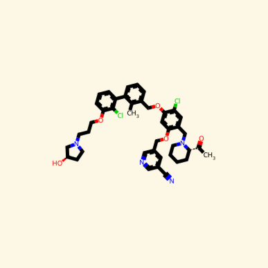 CC(=O)[C@@H]1CCCCN1Cc1cc(Cl)c(OCc2cccc(-c3cccc(OCCCN4CC[C@@H](O)C4)c3Cl)c2C)cc1OCc1cncc(C#N)c1